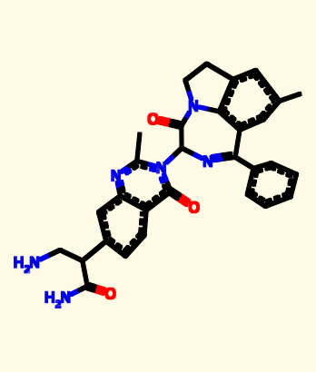 Cc1cc2c3c(c1)C(c1ccccc1)=NC(n1c(C)nc4cc(C(CN)C(N)=O)ccc4c1=O)C(=O)N3CC2